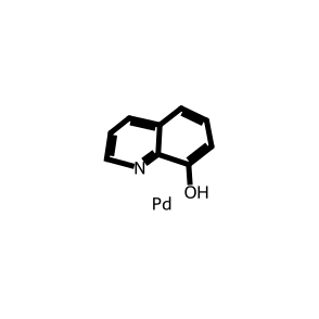 Oc1cccc2cccnc12.[Pd]